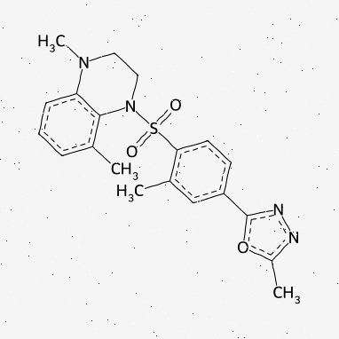 Cc1nnc(-c2ccc(S(=O)(=O)N3CCN(C)c4cccc(C)c43)c(C)c2)o1